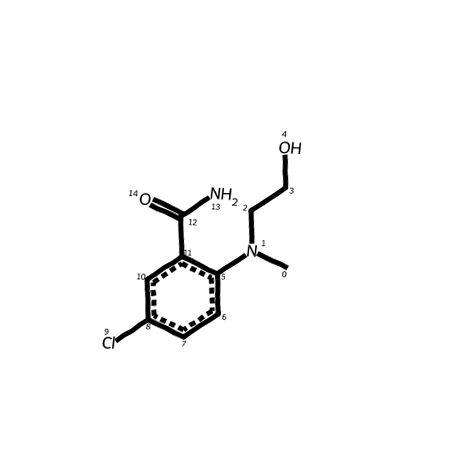 CN(CCO)c1ccc(Cl)cc1C(N)=O